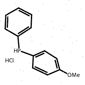 COc1ccc(Pc2ccccc2)cc1.Cl